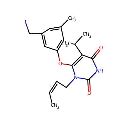 C/C=C\Cn1c(Oc2cc(C)cc(CI)c2)c(C(C)C)c(=O)[nH]c1=O